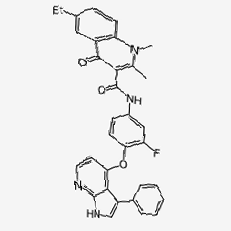 CCc1ccc2c(c1)c(=O)c(C(=O)Nc1ccc(Oc3ccnc4[nH]cc(-c5ccccc5)c34)c(F)c1)c(C)n2C